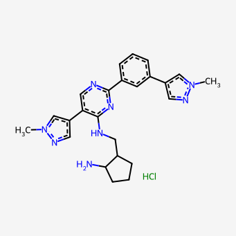 Cl.Cn1cc(-c2cccc(-c3ncc(-c4cnn(C)c4)c(NCC4CCCC4N)n3)c2)cn1